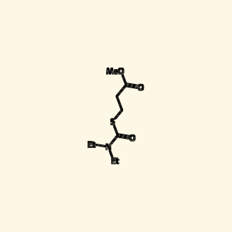 CCN(CC)C(=O)SCCC(=O)OC